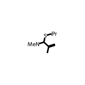 C=C(C)C(NC)SC(C)C